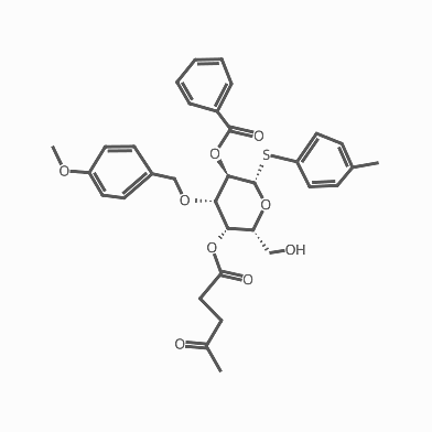 COc1ccc(CO[C@H]2[C@@H](OC(=O)CCC(C)=O)[C@@H](CO)O[C@@H](Sc3ccc(C)cc3)[C@@H]2OC(=O)c2ccccc2)cc1